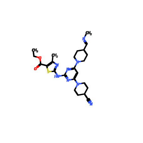 CCOC(=O)c1sc(Nc2nc(N3CCC(C#N)CC3)cc(N3CCC(/C=N/C)CC3)n2)nc1C